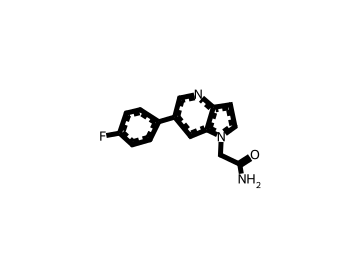 NC(=O)Cn1ccc2ncc(-c3ccc(F)cc3)cc21